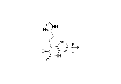 O=c1[nH]c2cc(C(F)(F)F)ccc2n(CCc2ncc[nH]2)c1=O